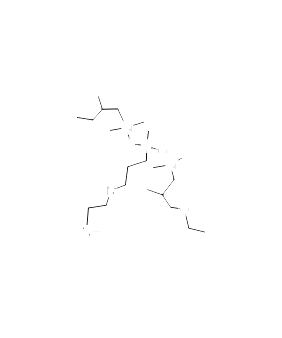 CCOCC(C)C[Si](C)(C)O[Si](C)(CCCNCCN)O[Si](C)(C)CC(C)CC